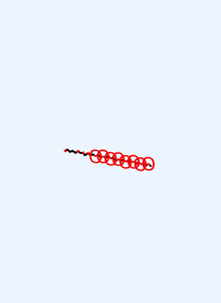 CCCCCCCCCCCCOCCOCCOCCOCCOCCOCCOCCOC